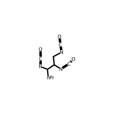 CCCC(N=C=O)C(CN=C=O)N=C=O